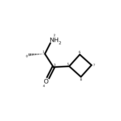 C[C@H](N)C(=O)C1CCC1